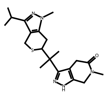 CC(C)c1nn(C)c2c1CSC(C(C)(C)c1n[nH]c3c1CC(=O)N(C)C3)C2